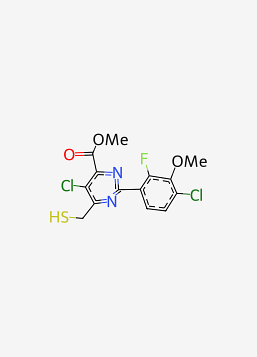 COC(=O)c1nc(-c2ccc(Cl)c(OC)c2F)nc(CS)c1Cl